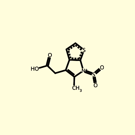 CC1=C(CC(=O)O)c2ccsc2[N+]1=S(=O)=O